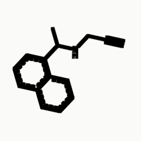 C#CCNC(C)c1cccc2ccccc12